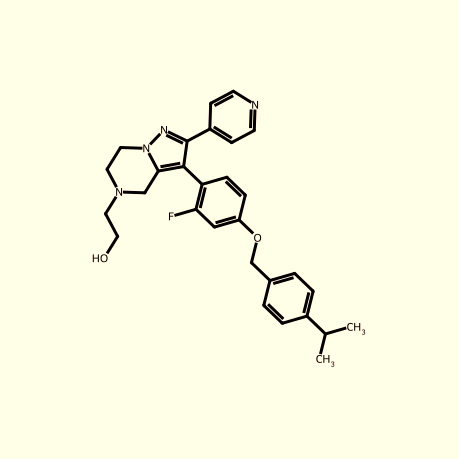 CC(C)c1ccc(COc2ccc(-c3c(-c4ccncc4)nn4c3CN(CCO)CC4)c(F)c2)cc1